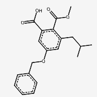 COC(=O)c1c(CC(C)C)cc(OCc2ccccc2)cc1C(=O)O